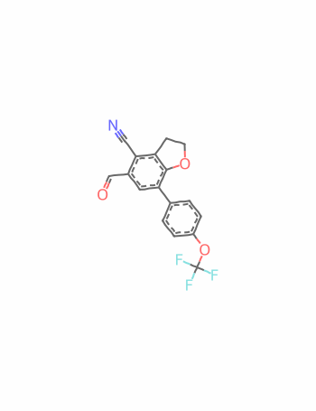 N#Cc1c(C=O)cc(-c2ccc(OC(F)(F)F)cc2)c2c1CCO2